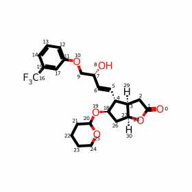 O=C1C[C@@H]2[C@@H](/C=C/[C@@H](O)COc3cccc(C(F)(F)F)c3)[C@H](OC3CCCCO3)C[C@@H]2O1